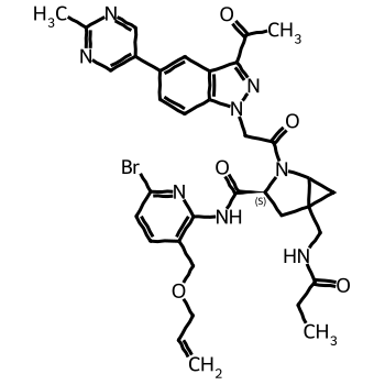 C=CCOCc1ccc(Br)nc1NC(=O)[C@@H]1CC2(CNC(=O)CC)CC2N1C(=O)Cn1nc(C(C)=O)c2cc(-c3cnc(C)nc3)ccc21